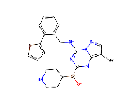 CC(C)c1cnn2c(NCc3ccccc3-c3cccs3)nc([S+]([O-])C3CCNCC3)nc12